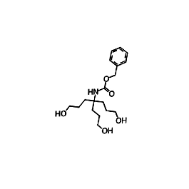 O=C(NC(CCCO)(CCCO)CCCO)OCc1ccccc1